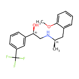 COc1ccccc1C[C@@H](C)NC[C@H](O)c1cccc(C(F)(F)F)c1